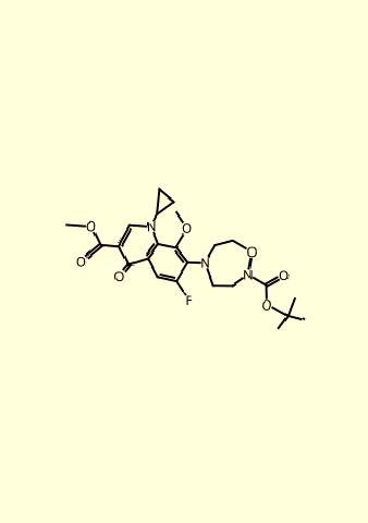 COC(=O)c1cn(C2CC2)c2c(OC)c(N3CCON(C(=O)OC(C)(C)C)CC3)c(F)cc2c1=O